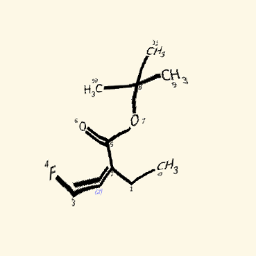 CC/C(=C/F)C(=O)OC(C)(C)C